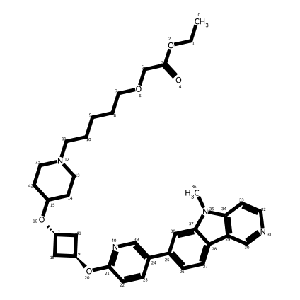 CCOC(=O)COCCCCCN1CCC(O[C@H]2C[C@H](Oc3ccc(-c4ccc5c6cnccc6n(C)c5c4)cn3)C2)CC1